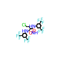 FC(F)(F)c1cc(NC2=C(CCCl)C(Nc3cc(C(F)(F)F)cc(C(F)(F)F)c3)ONO2)cc(C(F)(F)F)c1